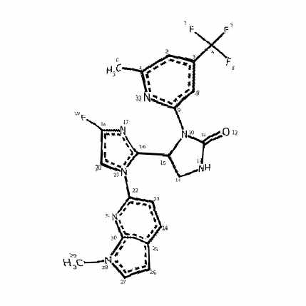 Cc1cc(C(F)(F)F)cc(N2C(=O)NCC2c2nc(F)cn2-c2ccc3ccn(C)c3n2)n1